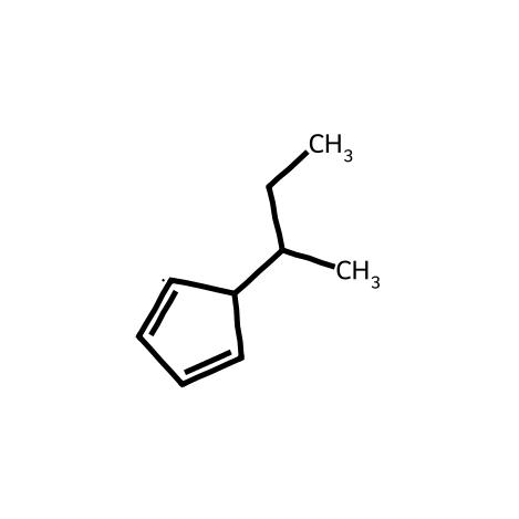 CCC(C)C1[C]=CC=C1